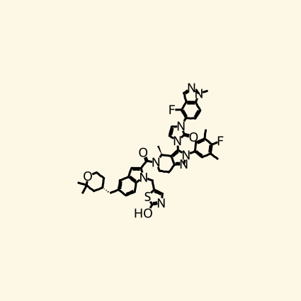 Cc1cc(-n2nc3c(c2-n2ccn(-c4ccc5c(cnn5C)c4F)c2=O)[C@H](C)N(C(=O)c2cc4cc(C[C@H]5CCOC(C)(C)C5)ccc4n2Cc2cnc(O)s2)CC3)cc(C)c1F